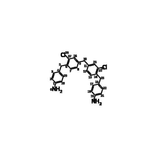 Nc1ccc(Cc2ccc(Cc3ccc(Cc4ccc(N)cc4)c(Cl)c3)cc2Cl)cc1